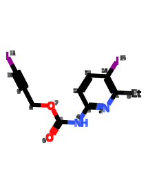 CCc1nc(NC(=O)OCC#CI)ccc1I